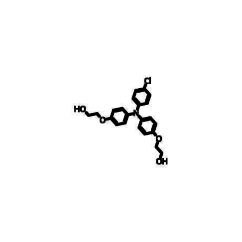 OCCOc1ccc(N(c2ccc(Cl)cc2)c2ccc(OCCO)cc2)cc1